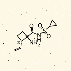 C=C[C@@H]1CC[C@]1(N)C(=O)NS(=O)(=O)C1CC1